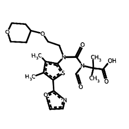 Cc1c(-c2ncco2)sc(N(CCOC2CCOCC2)C(=O)N(C=O)C(C)(C)C(=O)O)c1C